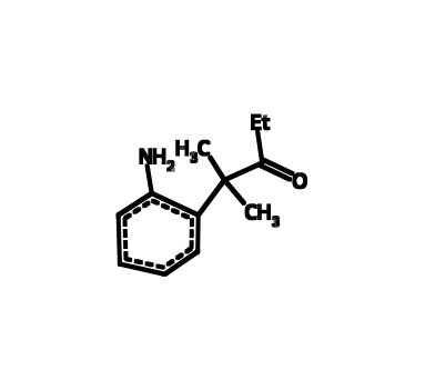 CCC(=O)C(C)(C)c1ccccc1N